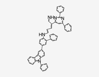 N=C/C(=C\C=C\Nc1ccc(-c2ccc3c(c2)c2ccccc2n3-c2ccccc2)cc1-c1ccccc1)c1cc(-c2ccccc2)nc(-c2ccccc2)n1